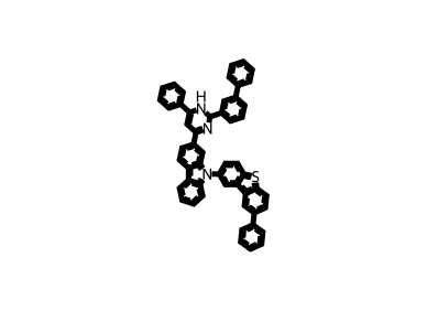 C1=C(c2ccccc2)NC(c2cccc(-c3ccccc3)c2)N=C1c1ccc2c3ccccc3n(-c3ccc4sc5ccc(-c6ccccc6)cc5c4c3)c2c1